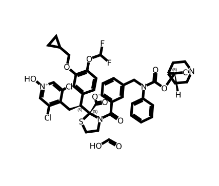 O=C(O[C@H]1CN2CCC1CC2)N(Cc1cccc(C(=O)N2CCS[C@]2(C(=O)[O-])[C@@H](Cc2c(Cl)c[n+](O)cc2Cl)c2ccc(OC(F)F)c(OCC3CC3)c2)c1)c1ccccc1.O=CO